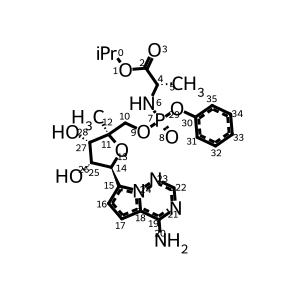 CC(C)OC(=O)[C@H](C)NP(=O)(OC[C@@]1(C)O[C@@H](c2ccc3c(N)ncnn23)[C@H](O)[C@@H]1O)Oc1ccccc1